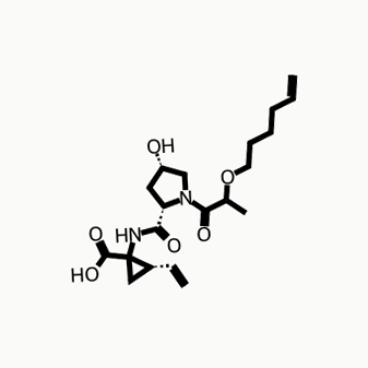 C=CCCCCOC(C)C(=O)N1C[C@@H](O)C[C@H]1C(=O)NC1(C(=O)O)C[C@H]1C=C